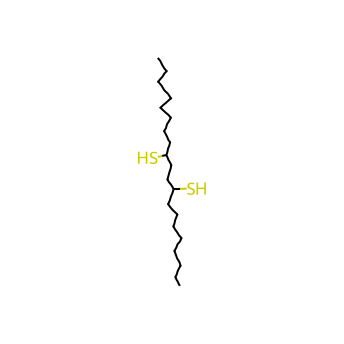 CCCCCCCCC(S)CCC(S)CCCCCCCC